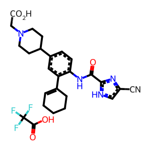 N#Cc1c[nH]c(C(=O)Nc2ccc(C3CCN(CC(=O)O)CC3)cc2C2=CCCCC2)n1.O=C(O)C(F)(F)F